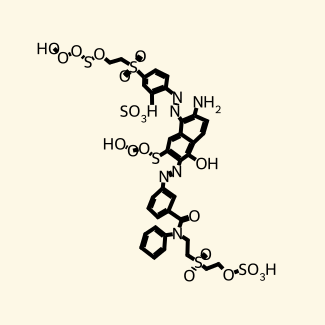 Nc1ccc2c(O)c(/N=N/c3cccc(C(=O)N(CCS(=O)(=O)CCOS(=O)(=O)O)c4ccccc4)c3)c(SOOO)cc2c1/N=N/c1ccc(S(=O)(=O)CCOSOOO)cc1S(=O)(=O)O